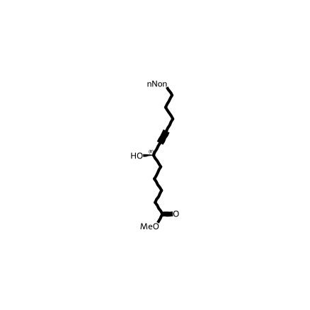 CCCCCCCCCCCCC#C[C@H](O)CCCCC(=O)OC